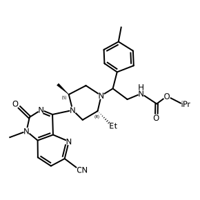 CC[C@@H]1CN(c2nc(=O)n(C)c3ccc(C#N)nc23)[C@@H](C)CN1C(CNC(=O)OC(C)C)c1ccc(C)cc1